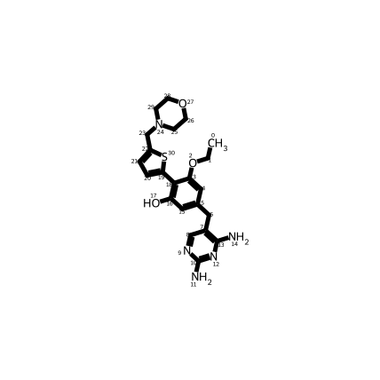 CCOc1cc(Cc2cnc(N)nc2N)cc(O)c1-c1ccc(CN2CCOCC2)s1